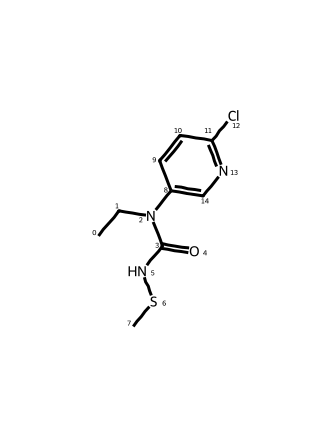 CCN(C(=O)NSC)c1ccc(Cl)nc1